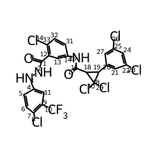 O=C(NNc1ccc(Cl)c(C(F)(F)F)c1)c1cc(NC(=O)C2C(c3cc(Cl)cc(Cl)c3)C2(Cl)Cl)ccc1Cl